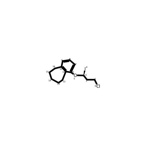 ClCC[C@H](I)Oc1cccc2c1CCCCC2